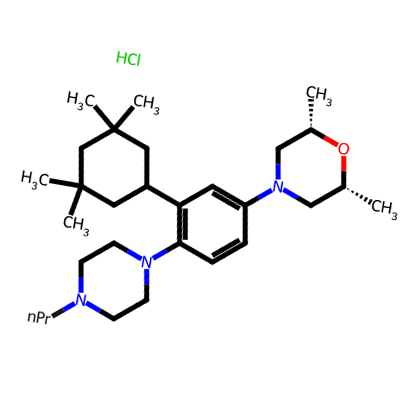 CCCN1CCN(c2ccc(N3C[C@@H](C)O[C@@H](C)C3)cc2C2CC(C)(C)CC(C)(C)C2)CC1.Cl